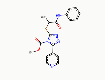 CCCC(Sc1nnc(-c2ccncc2)n1C(=O)OC(C)(C)C)C(=O)Nc1ccccc1